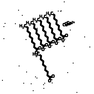 CCCCCCCCCC(=O)[O-].CCCCCCCCCC(=O)[O-].CCCCCCCCCC(=O)[O-].CCCCCCCCCC(=O)[O-].CCCCCCCCCC(=O)[O-].CCCCCCCCCC(=O)[O-].[Co+2].[Co+2].[Co+2]